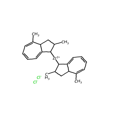 CC1=CC=CC=C2C1CC(C)[CH]2[Zr+2][CH]1C2=CC=CC=C(C)C2CC1C.[Cl-].[Cl-]